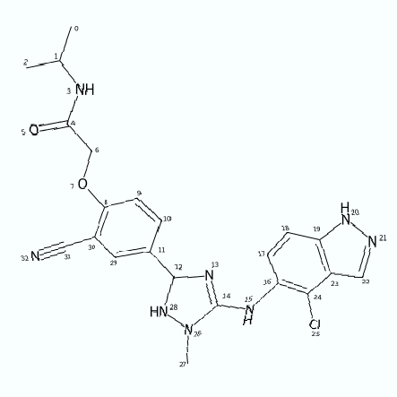 CC(C)NC(=O)COc1ccc(C2N=C(Nc3ccc4[nH]ncc4c3Cl)N(C)N2)cc1C#N